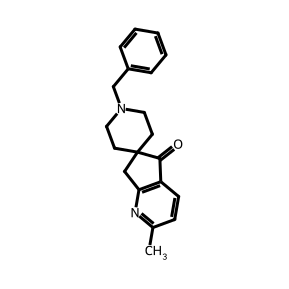 Cc1ccc2c(n1)CC1(CCN(Cc3ccccc3)CC1)C2=O